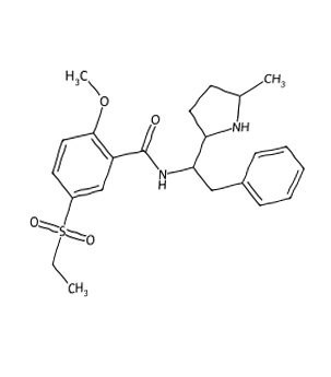 CCS(=O)(=O)c1ccc(OC)c(C(=O)NC(Cc2ccccc2)C2CCC(C)N2)c1